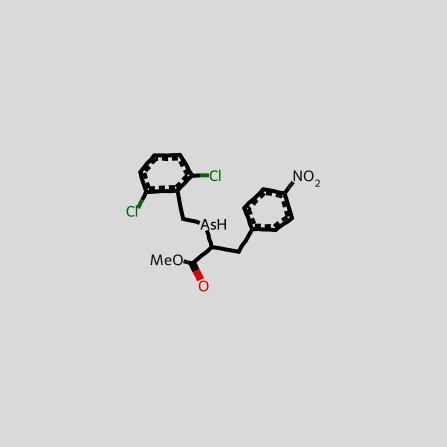 COC(=O)C(Cc1ccc([N+](=O)[O-])cc1)[AsH]Cc1c(Cl)cccc1Cl